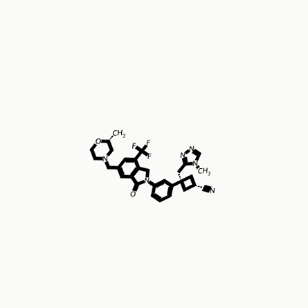 C[C@@H]1CN(Cc2cc3c(c(C(F)(F)F)c2)CN(c2cccc([C@]4(Cc5nncn5C)C[C@@H](C#N)C4)c2)C3=O)CCO1